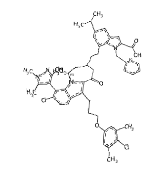 Cc1cc(OCCCc2c3n(c4c(-c5c(C)nn(C)c5C)c(Cl)ccc24)[C@H](C)CC(CCc2cc(C(C)C)cc4cc(C(=O)O)n(Cc5ccccn5)c24)CC3=O)cc(C)c1Cl